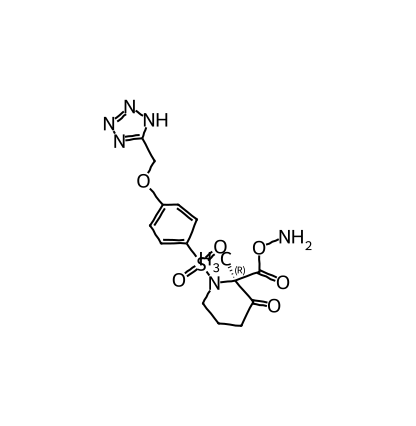 C[C@]1(C(=O)ON)C(=O)CCCN1S(=O)(=O)c1ccc(OCc2nnn[nH]2)cc1